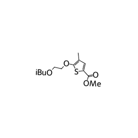 COC(=O)c1cc(C)c(OCCOCC(C)C)s1